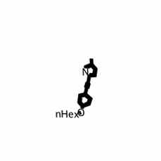 CCCCCCOc1ccc(C#Cc2ccc(C)cn2)cc1